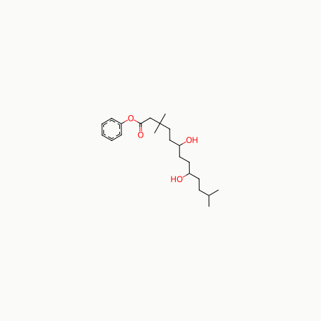 CC(C)CCC(O)CCC(O)CCC(C)(C)CC(=O)Oc1ccccc1